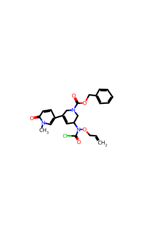 C=CCON(C(=O)Cl)C1C=C(c2ccc(=O)n(C)c2)CN(C(=O)OCc2ccccc2)C1